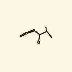 CC(C)C(Cl)N=C=O